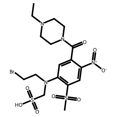 CCN1CCN(C(=O)c2cc(N(CCBr)CS(=O)(=O)O)c(S(C)(=O)=O)cc2[N+](=O)[O-])CC1